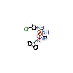 Cc1cc(NC(=O)C(C)NC(=O)C(NC(=O)OCC2c3ccccc3-c3ccccc32)C(C)C)ccc1CCl